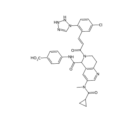 CN(C(=O)C1CC1)c1cnc2c(c1)C(C(=O)Nc1ccc(C(=O)O)cc1)N(C(=O)/C=C/c1cc(Cl)ccc1N1C=NNN1)CC2